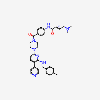 Cc1ccc(CNc2nc(N3CCN(C(=O)c4ccc(NC(=O)/C=C/CN(C)C)cc4)CC3)ccc2-c2ccncc2)cc1